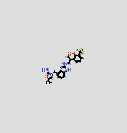 Cc1cn(Cc2cccc3[nH]c(NCC(CO)c4cccc(C(F)(F)F)c4)nc23)c(=N)o1